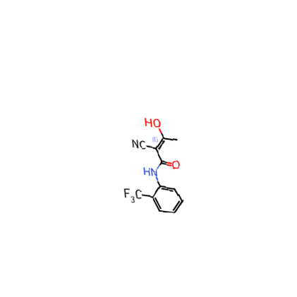 C/C(O)=C(/C#N)C(=O)Nc1ccccc1C(F)(F)F